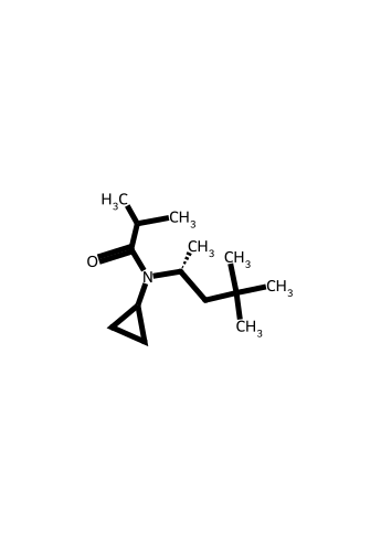 CC(C)C(=O)N(C1CC1)[C@H](C)CC(C)(C)C